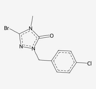 Cn1c(Br)nn(Cc2ccc(Cl)cc2)c1=O